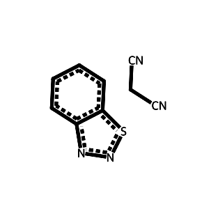 N#CCC#N.c1ccc2snnc2c1